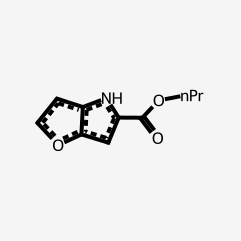 CCCOC(=O)c1cc2occc2[nH]1